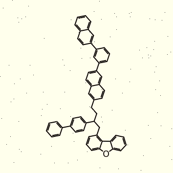 c1ccc(-c2ccc(C(CCc3ccc4cc(-c5cccc(-c6ccc7ccccc7c6)c5)ccc4c3)Cc3cccc4oc5ccccc5c34)cc2)cc1